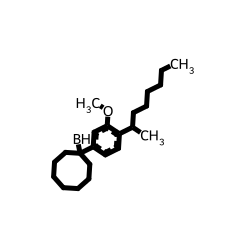 BC1(c2ccc(C(C)CCCCCC)c(OC)c2)CCCCCCC1